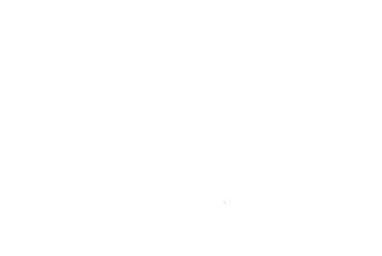 O=C1c2cc(F)ccc2C(=O)c2cc3cc(F)ccc3cc21